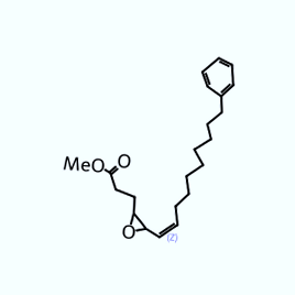 COC(=O)CCC1OC1/C=C\CCCCCCCCc1ccccc1